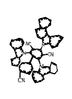 N#Cc1ccc(-c2c(-n3c4c(c5ccccc53)CCC=C4)c(C#N)c(-n3c4ccccc4c4c5ccccc5ccc43)c(C#N)c2-n2c3ccccc3c3ccccc32)cc1